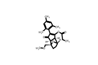 CCC(=O)OC1=C(c2c(C)cc(C)cc2C)C(=O)[C@H]2[C@@H]1[C@@H]1CC[C@@]2(COC)O1